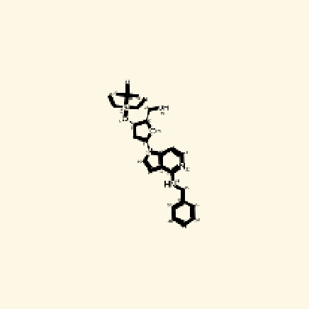 CC[Si](CC)(O[C@H]1C[C@H](n2ccc3c(NCc4ccccc4)nccc32)O[C@@H]1CO)C(C)(C)C